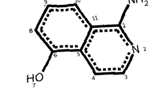 Nc1nccc2c(O)c[c]cc12